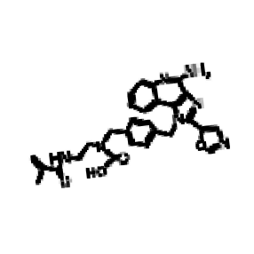 C=C(C)C(=O)NCCN(Cc1ccc(Cn2c(-c3cnco3)nc3c(N)nc4ccccc4c32)cc1)C(=O)O